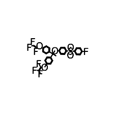 CC(Oc1ccc(S(=O)(=O)c2ccc(F)cc2)cc1)(c1ccc(OC(F)=C(F)F)cc1)c1ccc(OC(F)=C(F)F)cc1